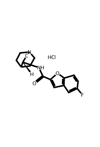 Cl.O=C(N[C@H]1CN2CCC1CC2)c1cc2cc(F)ccc2o1